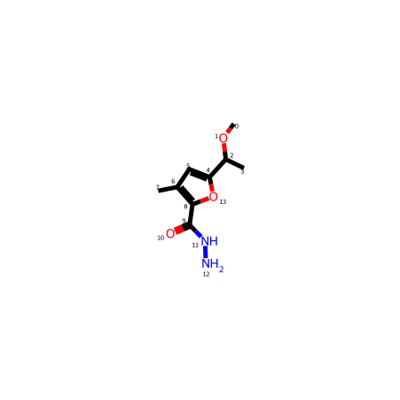 COC(C)c1cc(C)c(C(=O)NN)o1